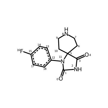 O=C1NC(=O)C2(CCNCC2)N1c1ccc(F)cc1